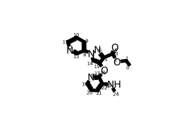 CCOC(=O)c1nn(-c2cccnc2)cc1Oc1ncccc1NC